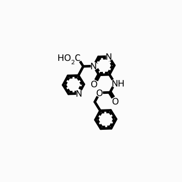 O=C(Nc1cncn(C(C(=O)O)c2cccnc2)c1=O)OCc1ccccc1